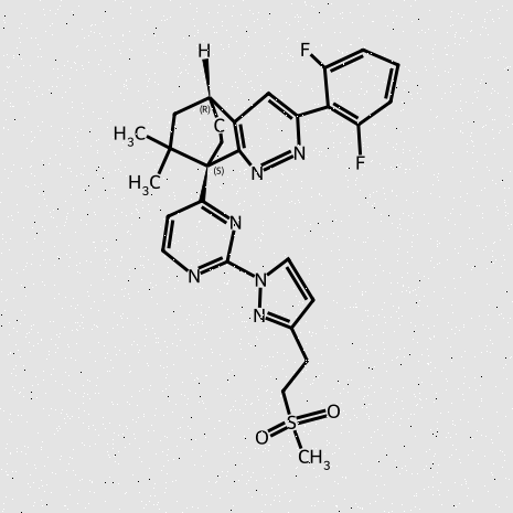 CC1(C)C[C@H]2CC[C@]1(c1ccnc(-n3ccc(CCS(C)(=O)=O)n3)n1)c1nnc(-c3c(F)cccc3F)cc12